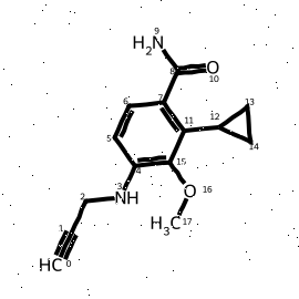 C#CCNc1ccc(C(N)=O)c(C2CC2)c1OC